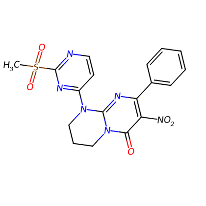 CS(=O)(=O)c1nccc(N2CCCn3c2nc(-c2ccccc2)c([N+](=O)[O-])c3=O)n1